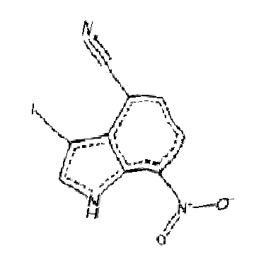 N#Cc1ccc([N+](=O)[O-])c2[nH]cc(I)c12